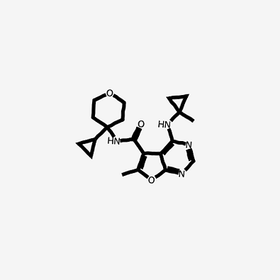 Cc1oc2ncnc(NC3(C)CC3)c2c1C(=O)NC1(C2CC2)CCOCC1